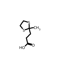 CC1(CCC(=O)O)SCCS1